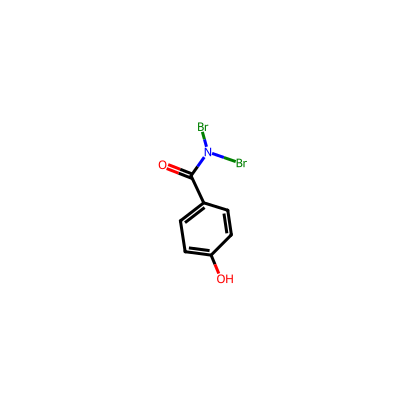 O=C(c1ccc(O)cc1)N(Br)Br